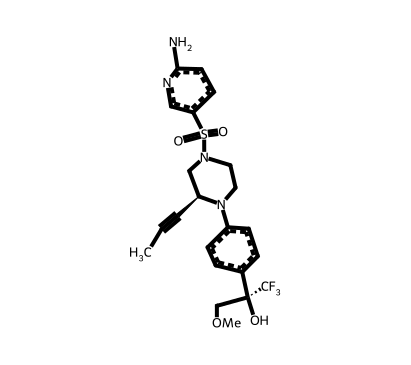 CC#C[C@H]1CN(S(=O)(=O)c2ccc(N)nc2)CCN1c1ccc([C@@](O)(COC)C(F)(F)F)cc1